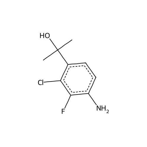 CC(C)(O)c1ccc(N)c(F)c1Cl